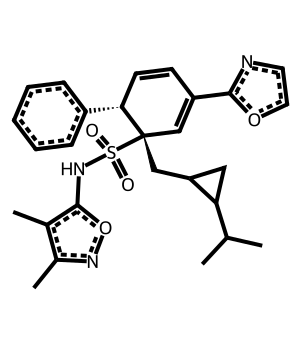 Cc1noc(NS(=O)(=O)[C@@]2(CC3CC3C(C)C)C=C(c3ncco3)C=C[C@H]2c2ccccc2)c1C